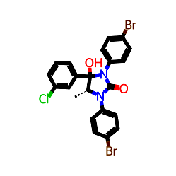 C[C@H]1N(c2ccc(Br)cc2)C(=O)N(c2ccc(Br)cc2)C1(O)c1cccc(Cl)c1